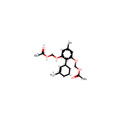 CCCc1cc(OCOC(=O)C(C)(C)C)c(C2C=C(C)CCC2)c(OCOC(=O)C(C)(C)C)c1